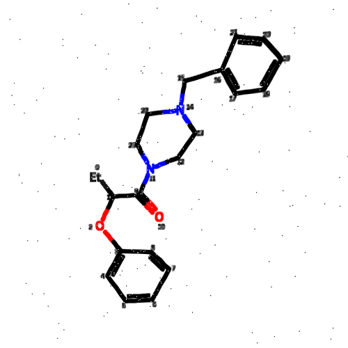 CCC(Oc1ccccc1)C(=O)N1CCN(Cc2ccccc2)CC1